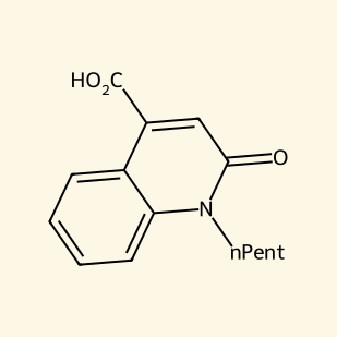 CCCCCn1c(=O)cc(C(=O)O)c2ccccc21